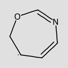 [CH]1C=CN=COC1